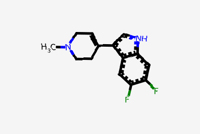 CN1CC=C(c2c[nH]c3cc(F)c(F)cc23)CC1